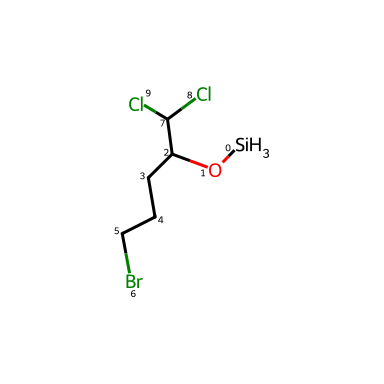 [SiH3]OC(CCCBr)C(Cl)Cl